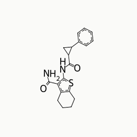 NC(=O)c1c(NC(=O)C2CC2c2ccccc2)sc2c1CCCC2